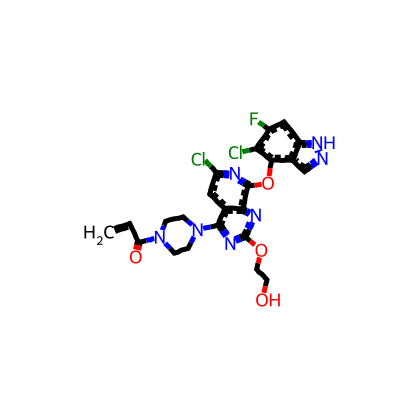 C=CC(=O)N1CCN(c2nc(OCCO)nc3c(Oc4c(Cl)c(F)cc5[nH]ncc45)nc(Cl)cc23)CC1